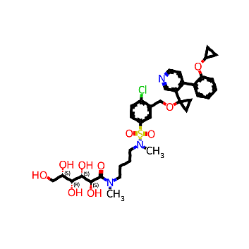 CN(CCCCN(C)S(=O)(=O)c1ccc(Cl)c(COC2(c3cnccc3-c3ccccc3OC3CC3)CC2)c1)C(=O)[C@@H](O)[C@@H](O)[C@H](O)[C@@H](O)CO